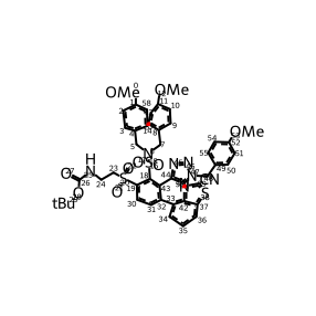 COc1ccc(CN(Cc2ccc(OC)cc2)S(=O)(=O)c2c(S(=O)(=O)CCNC(=O)OC(C)(C)C)ccc(-c3cccc4sc(C#N)nc34)c2-c2nnn(Cc3ccc(OC)cc3)n2)cc1